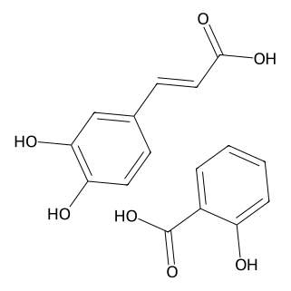 O=C(O)C=Cc1ccc(O)c(O)c1.O=C(O)c1ccccc1O